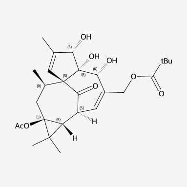 CC(=O)O[C@@]12C[C@@H](C)[C@]34C=C(C)[C@H](O)[C@@]3(O)[C@H](O)C(COC(=O)C(C)(C)C)=C[C@H](C4=O)[C@@H]1C2(C)C